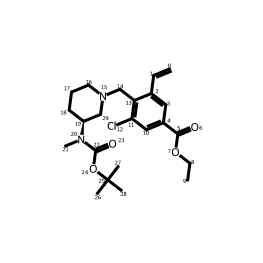 C=Cc1cc(C(=O)OCC)cc(Cl)c1CN1CCC[C@H](N(C)C(=O)OC(C)(C)C)C1